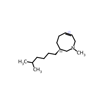 CC(C)CCCC[C@H]1CC/C=C\CN(C)C1